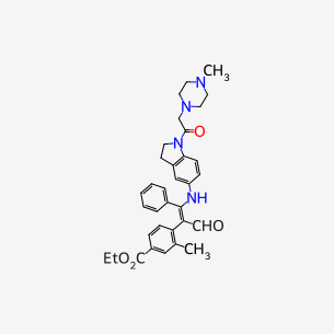 CCOC(=O)c1ccc(/C(C=O)=C(/Nc2ccc3c(c2)CCN3C(=O)CN2CCN(C)CC2)c2ccccc2)c(C)c1